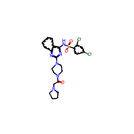 O=C(CN1CCCC1)N1CCN(c2nc(NS(=O)(=O)c3ccc(Cl)cc3Cl)c3ccccc3n2)CC1